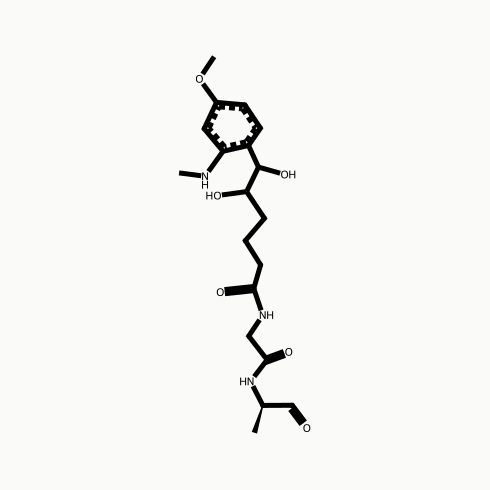 CNc1cc(OC)ccc1C(O)C(O)CCCC(=O)NCC(=O)N[C@H](C)C=O